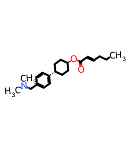 CCCC=CC(=O)O[C@H]1CC[C@H](c2ccc(CN(C)C)cc2)CC1